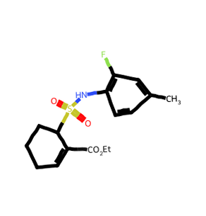 CCOC(=O)C1=CCCCC1S(=O)(=O)Nc1ccc(C)cc1F